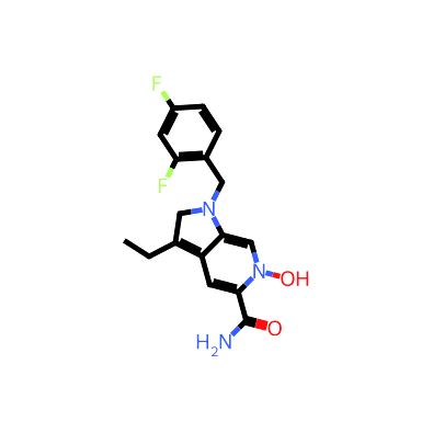 CCC1=C2C=C(C(N)=O)N(O)C=C2N(Cc2ccc(F)cc2F)C1